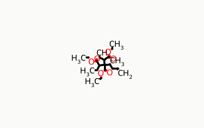 C=CCC(C)C(C(=O)OCC)(C(CC)C(=O)OCC)C(CC)C(=O)OCC